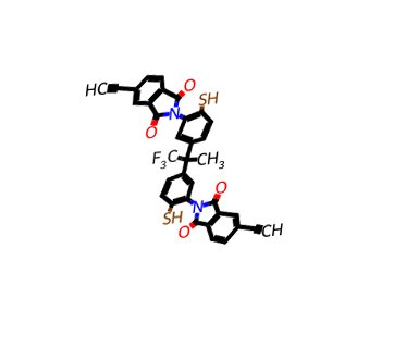 C#Cc1ccc2c(c1)C(=O)N(c1cc(C(C)(c3ccc(S)c(N4C(=O)c5ccc(C#C)cc5C4=O)c3)C(F)(F)F)ccc1S)C2=O